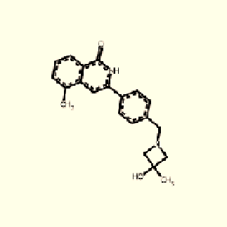 Cc1cccc2c(=O)[nH]c(-c3ccc(CN4CC(C)(O)C4)cc3)cc12